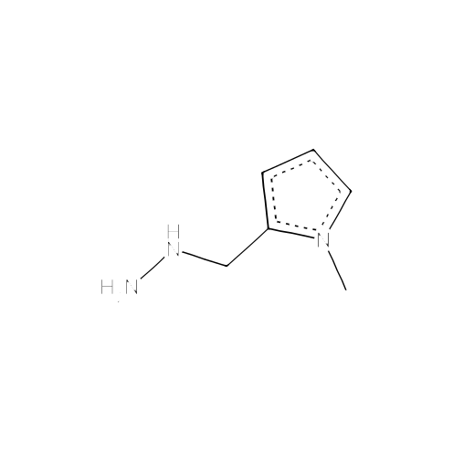 Cn1cccc1CNN